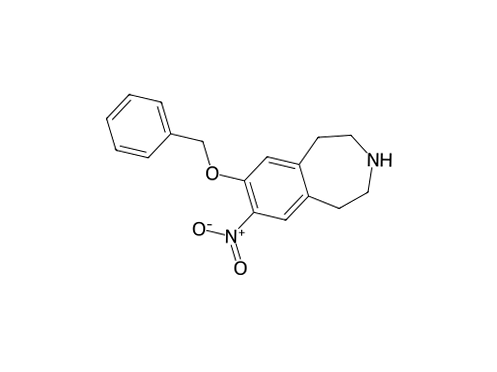 O=[N+]([O-])c1cc2c(cc1OCc1ccccc1)CCNCC2